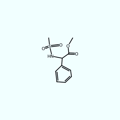 COC(=O)C(NS(C)(=O)=O)c1ccccc1